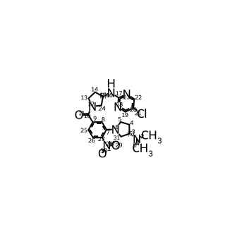 CN(C)[C@H]1CCN(c2cc(C(=O)N3CC[C@@H](Nc4ncc(Cl)cn4)C3)ccc2[N+](=O)[O-])C1